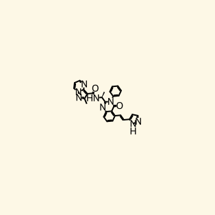 Cc1nn2cccnc2c1C(=O)N[C@@H](C)c1nc2cccc(/C=C/c3ccn[nH]3)c2c(=O)n1-c1ccccc1